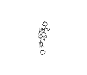 O=C(N[C@H]1CO[C@H]2[C@@H]1OC[C@@H]2n1cc(CC2CCCCC2)nn1)c1ccccc1